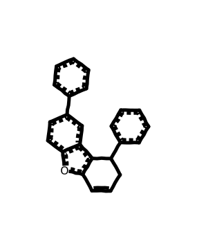 C1=Cc2oc3ccc(-c4ccccc4)cc3c2[C](c2ccccc2)C1